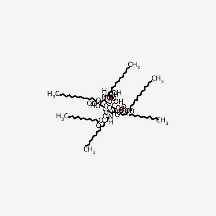 CCCCCCCCCCCCCC(=O)O[C@H](CCCCCCCCCCC)CC(=O)O[C@@H]1[C@@H](NC(=O)C[C@@H](CCCCCCCCCCC)OC(=O)CCCCCCCCCCC)[C@H](OC[C@H]2O[C@H](OP(=O)(O)O)[C@H](NC(=O)C[C@H](O)CCCCCCCCCCC)[C@@H](OC(=O)C[C@H](O)CCCCCCCCCCC)[C@@H]2O)O[C@H](CO)[C@H]1OP(=O)(O)O